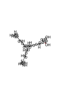 N=C1N[C@H]2[C@H](CS[C@H]2CCCCC(=O)NCCOCCNC(=O)c2cc(NC(=O)NCCOCCOCCNC(=O)Cc3ccc4c(c3)C(=O)OC43c4ccc(O)cc4Oc4cc(O)ccc43)cc(C(=O)NCCOCCNC(=O)CCCC[C@@H]3SC[C@@H]4NC(=N)N[C@@H]43)c2)N1